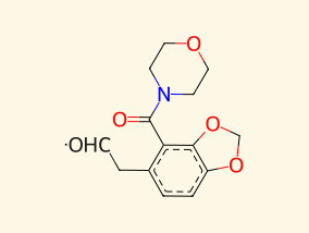 O=[C]Cc1ccc2c(c1C(=O)N1CCOCC1)OCO2